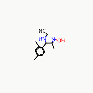 C/C(=N\O)C(NCC#N)c1ccc(C)cc1C